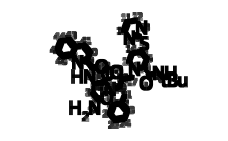 CC(C)(C)NC(=O)[C@@H]1C[C@H](Sc2ncccn2)CCN1C[C@@H](O)[C@H](Cc1ccccc1)NC(=O)[C@H](CC(N)=O)NC(=O)c1ccc2ccccc2n1